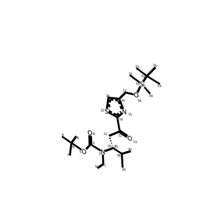 CCN(C(=O)OC(C)(C)C)[C@H](CC(=O)c1nc(CO[Si](C)(C)C(C)(C)C)cs1)C(C)C